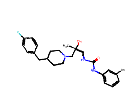 CC(=O)c1cccc(NC(=O)NC[C@@](C)(O)CN2CCC(Cc3ccc(F)cc3)CC2)c1